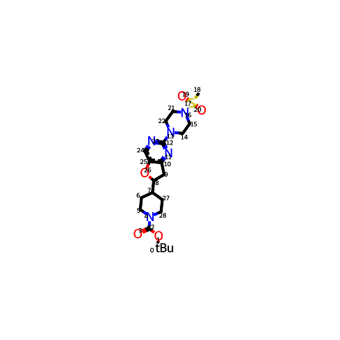 CC(C)(C)OC(=O)N1CCC(C2Cc3nc(N4CCN(S(C)(=O)=O)CC4)ncc3O2)CC1